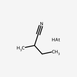 CCC(C)C#N.[AtH]